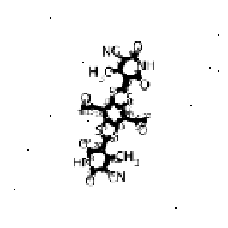 CC1=C(C#N)C(=O)NC(=O)C1=C1Sc2c(c(C3CO3)c3c(c2C2CO2)SC(=C2C(=O)NC(=O)C(C#N)=C2C)S3)S1